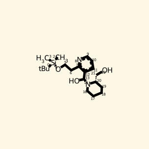 CC(C)(C)[Si](C)(C)OCCc1ncccc1C(O)N1CCCC[C@H]1CO